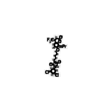 CCCc1c(OCCCCCN2C(=O)CN(c3cc(Cl)cc(Cl)c3)C2=O)ccc2c1OC(=O)CC2C(F)(F)F